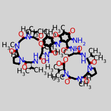 Cc1c2oc3c(C)ccc(C(=O)N[C@@H]4C(=O)N[C@H](C(C)C)C(=O)N5CCC[C@H]5C(=O)N(C)CC(=O)N(C)[C@@H](C(C)C)C(=O)O[C@H]4C)c3nc-2c(C(=O)N[C@@H]2C(=O)N[C@H](C(C)C)C(=O)N3CCC[C@H]3C(=O)N(C)CC(=O)N(C)[C@@H](C(C)C)C(=O)O[C@H]2C)c(N)c1=O